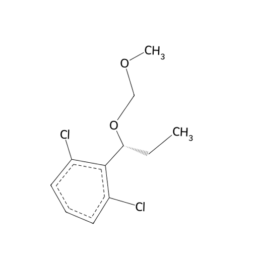 CC[C@@H](OCOC)c1c(Cl)cccc1Cl